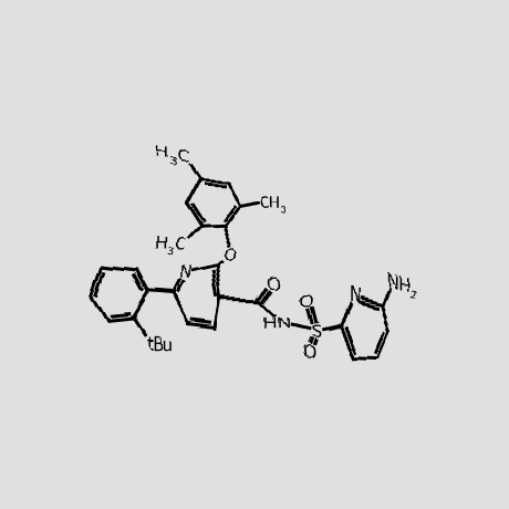 Cc1cc(C)c(Oc2nc(-c3ccccc3C(C)(C)C)ccc2C(=O)NS(=O)(=O)c2cccc(N)n2)c(C)c1